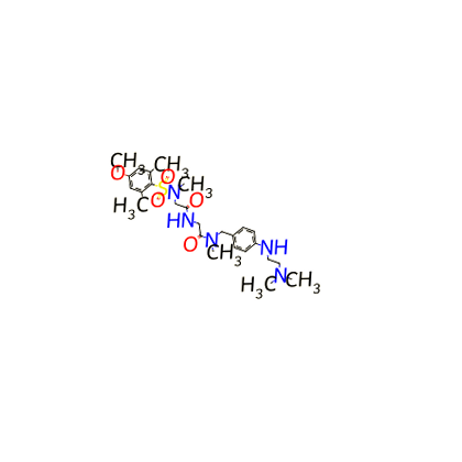 COc1cc(C)c(S(=O)(=O)N(C)CC(=O)NCC(=O)N(C)Cc2ccc(NCCN(C)C)cc2)c(C)c1